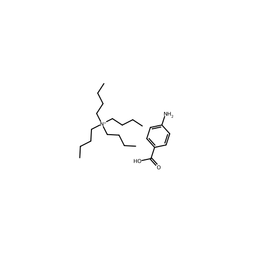 CCCC[N+](CCCC)(CCCC)CCCC.Nc1ccc(C(=O)O)cc1